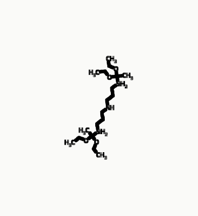 CCOC(C)(OCC)[SiH2]CCCNCCC[SiH2]C(C)(OCC)OCC